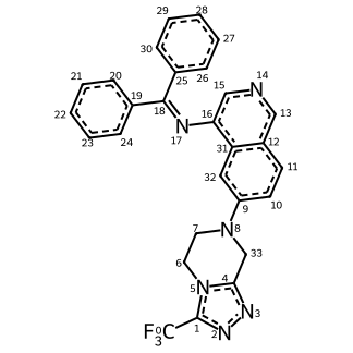 FC(F)(F)c1nnc2n1CCN(c1ccc3cncc(N=C(c4ccccc4)c4ccccc4)c3c1)C2